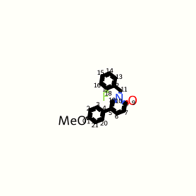 COc1ccc(-c2ccc(=O)n(Cc3ccccc3F)c2)cc1